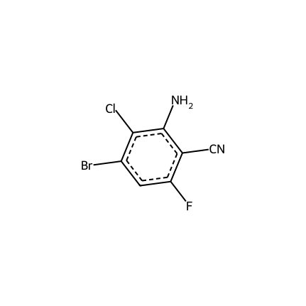 N#Cc1c(F)cc(Br)c(Cl)c1N